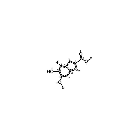 COC(=O)c1cc2c(F)c(O)c(OC)cc2s1